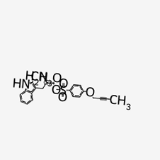 CC#CCOc1ccc(S(=O)(=O)OC(=O)[C@@H](N)Cc2c(C)[nH]c3ccccc23)cc1